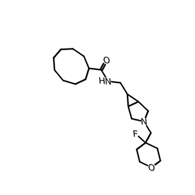 O=C(NCC1C2CN(CC3(F)CCOCC3)CC12)C1CCCCCCCC1